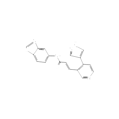 O=C(/C=C/c1cnccc1-c1cn[nH]c1)Nc1ccc2scnc2c1